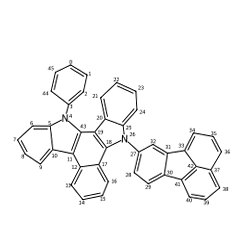 c1ccc(-n2c3ccccc3c3c4ccccc4c4c(c5ccccc5n4-c4ccc5c(c4)-c4cccc6cccc-5c46)c32)cc1